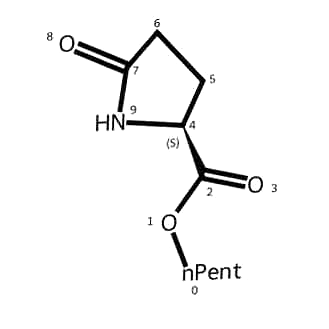 CCCCCOC(=O)[C@@H]1CCC(=O)N1